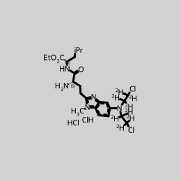 Cl.Cl.[2H]C([2H])(Cl)C([2H])([2H])N(c1ccc2c(c1)nc(CC[C@H](N)C(=O)N[C@@H](CC(C)C)C(=O)OCC)n2C)C([2H])([2H])C([2H])([2H])Cl